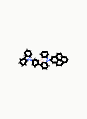 C1=CC2=CCc3cc(N4c5ccccc5B5c6cc(-n7c8ccccc8c8ccccc87)ccc6-c6cccc4c65)cc4c3C2C(=C1)C=C4